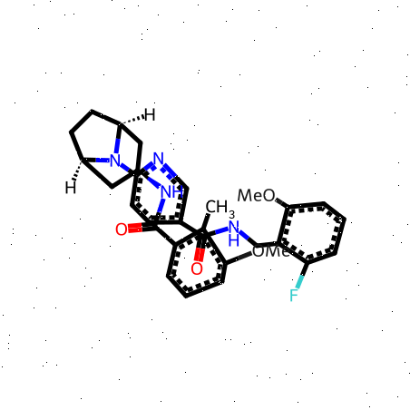 COc1cccc(C(=O)N[C@H]2C[C@H]3CC[C@@H](C2)N3c2ccc(C(=O)NCc3c(F)cccc3OC)cn2)c1C